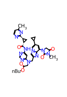 CCCCOC(=O)CN(Cc1cn2cc(C3CC3)cc(N3CC(=O)N(C)C3=O)c2n1)c1cc(NC(=O)[C@H]2C[C@@H]2c2nccc(C)n2)ncn1